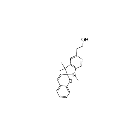 CN1c2ccc(CCO)cc2C(C)(C)C12C=Cc1ccccc1O2